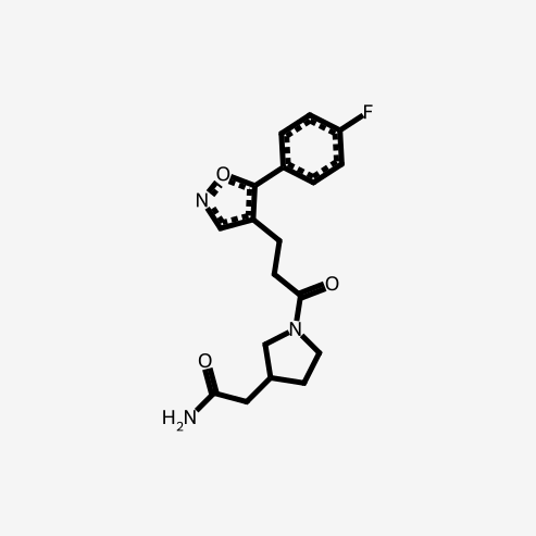 NC(=O)CC1CCN(C(=O)CCc2cnoc2-c2ccc(F)cc2)C1